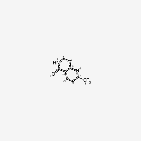 O=c1[nH]ccc2nc(C(F)(F)F)ccc12